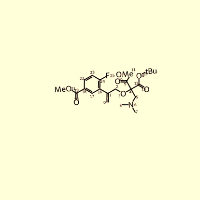 C=C(COC(CN(C)C)(C(=O)OC)C(=O)OC(C)(C)C)c1cc(C(=O)OC)ccc1F